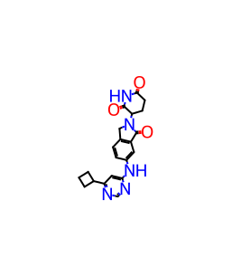 O=C1CCC(N2Cc3ccc(Nc4cc(C5CCC5)ncn4)cc3C2=O)C(=O)N1